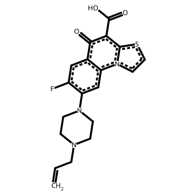 C=CCN1CCN(c2cc3c(cc2F)c(=O)c(C(=O)O)c2sccn23)CC1